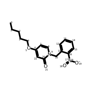 CCCCCOc1ccn(Cc2ccccc2[N+](=O)[O-])c(=O)c1